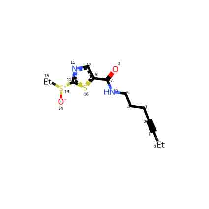 CCC#CCCCNC(=O)c1cnc([S+]([O-])CC)s1